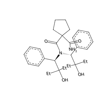 CCC(O)(CC)[C@@H](c1ccccc1)N(C(=O)C1(C(N)=O)CCCC1)[C@H](c1ccccc1)C(O)(CC)CC